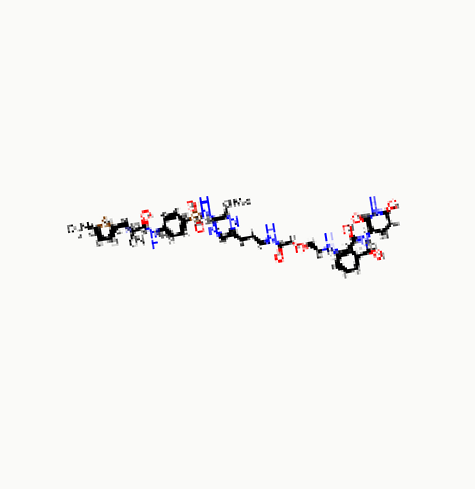 COc1nc(CCCNC(=O)COCCNc2cccc3c2C(=O)N(C2CCC(=O)NC2=O)C3=O)cnc1NS(=O)(=O)c1ccc(NC(=O)/C(C#N)=C/c2ccc([N+](=O)[O-])s2)cc1